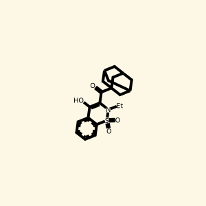 CCN1C(C(=O)C23CC4CC(CC(C4)C2)C3)=C(O)c2ccccc2S1(=O)=O